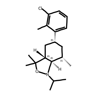 Cc1c(Cl)cccc1[C@H]1C[C@@H]2[C@@H]([C@@H](C)C1)N(C(C)C)OC2(C)C